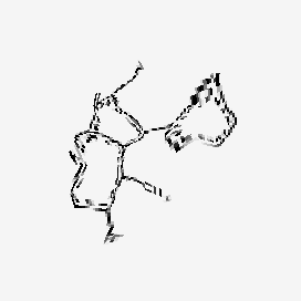 Cc1c(Br)cnc2[nH]c(I)c(-c3cccnc3)c12